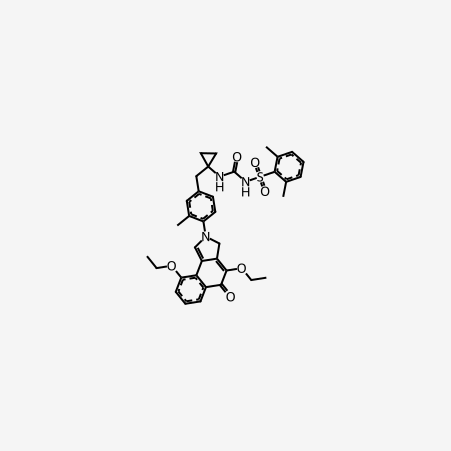 CCOC1=C2CN(c3ccc(CC4(NC(=O)NS(=O)(=O)c5c(C)cccc5C)CC4)cc3C)C=C2c2c(OCC)cccc2C1=O